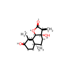 C=C1C(=O)OC2C3=C(C)C(=O)CC[C@]3(C)CC[C@@]12O